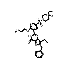 CCc1c2nc(-c3cc(S(=O)(=O)N4CC[N+]([O-])(CC)CC4)cnc3OCCOC)[nH]c(=O)c2nn1Cc1ccccn1